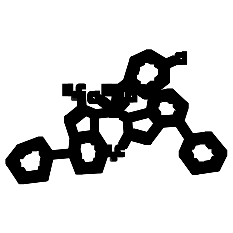 CC1=Cc2c(-c3ccccc3)cccc2[CH]1[Zr]([Cl])([Cl])(=[SiH]c1ccc(Cl)cc1)[CH]1C(C)=Cc2c(-c3ccccc3)cccc21